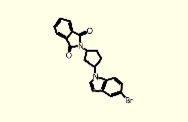 O=C1c2ccccc2C(=O)N1C1CCC(n2ccc3cc(Br)ccc32)C1